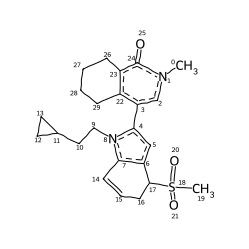 Cn1cc(-c2cc3c(n2CCC2CC2)C=CCC3S(C)(=O)=O)c2c(c1=O)CCCC2